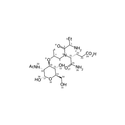 CCC(N)C(=O)N(CC(C)O[C@H]1[C@H](O)[C@@H](CO)O[C@H](O)[C@@H]1NC(C)=O)[C@H](CCC(=O)O)C(N)=O